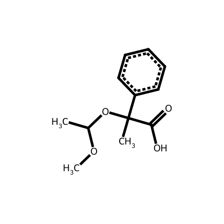 COC(C)OC(C)(C(=O)O)c1ccccc1